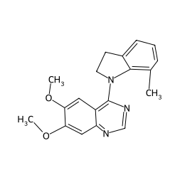 COc1cc2ncnc(N3CCc4cccc(C)c43)c2cc1OC